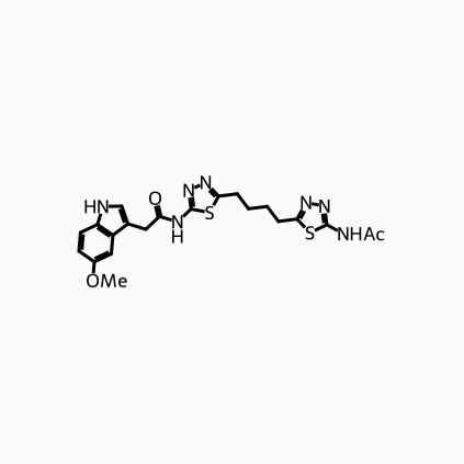 COc1ccc2[nH]cc(CC(=O)Nc3nnc(CCCCc4nnc(NC(C)=O)s4)s3)c2c1